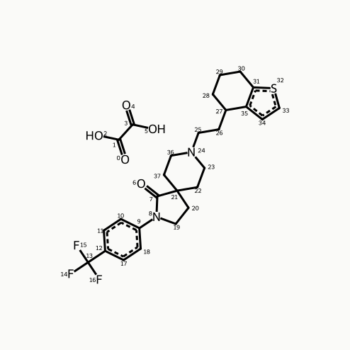 O=C(O)C(=O)O.O=C1N(c2ccc(C(F)(F)F)cc2)CCC12CCN(CCC1CCCc3sccc31)CC2